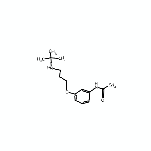 CC(=O)Nc1cccc(OCCCNC(C)(C)C)c1